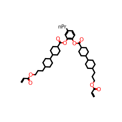 C=CC(=O)OCCCC1CCC(C2CCC(C(=O)Oc3ccc(CCC)cc3OC(=O)C3CCC(C4CCC(CCCOC(=O)C=C)CC4)CC3)CC2)CC1